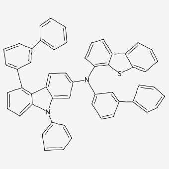 c1ccc(-c2cccc(-c3cccc4c3c3ccc(N(c5cccc(-c6ccccc6)c5)c5cccc6c5sc5ccccc56)cc3n4-c3ccccc3)c2)cc1